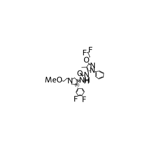 COCCN1C[C@@H](NC(=O)Nc2c(C)c(OCC(F)F)nn2-c2ccccc2)[C@H](c2ccc(F)c(F)c2)C1